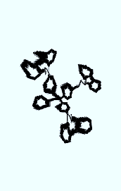 c1ccc(C(c2ccc(-n3c4ccccc4c4ccccc43)cc2)(c2ccc(-n3c4ccccc4c4ccccc43)cc2)c2ccc(-n3c4ccccc4c4ccccc43)cc2)cc1